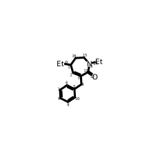 CCC1C=C(Cc2ccccc2)C(=O)N(CC)CC1